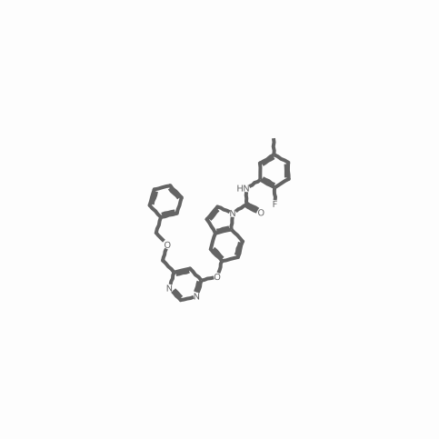 Cc1ccc(F)c(NC(=O)n2ccc3cc(Oc4cc(COCc5ccccc5)ncn4)ccc32)c1